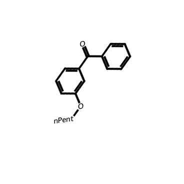 CCCCCOc1cccc(C(=O)c2ccccc2)c1